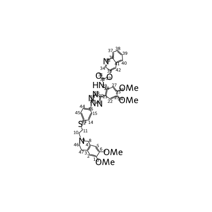 COc1cc2c(cc1OC)CN(CCSc1ccc(-n3nnc(-c4cc(OC)c(OC)cc4NC(=O)Oc4cnc5ccccc5c4)n3)cc1)CC2